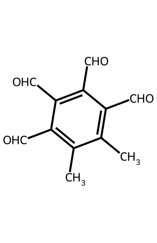 Cc1c(C)c(C=O)c(C=O)c(C=O)c1C=O